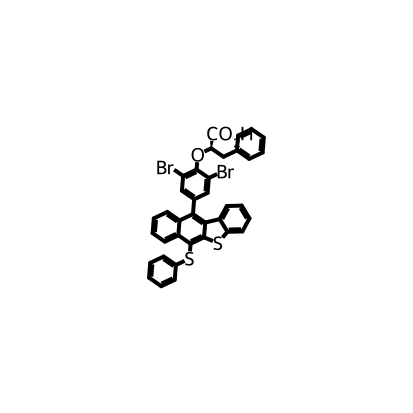 O=C(O)[C@@H](Cc1ccccc1)Oc1c(Br)cc(-c2c3ccccc3c(Sc3ccccc3)c3sc4ccccc4c23)cc1Br